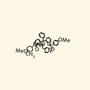 COc1ccc(S(=O)(=O)c2cc(CN(NC(=O)C[C@H]3CC[C@](C)(OC)CC3)OC(c3ccccc3)(c3ccccc3)c3ccccc3)ccn2)cc1